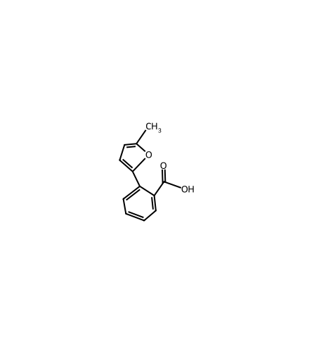 Cc1ccc(-c2ccccc2C(=O)O)o1